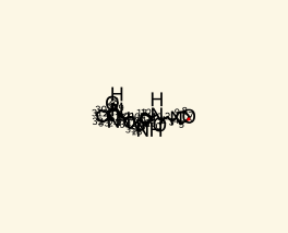 O=C(CCN1CCOCC1)Nc1ccc2c(c1)NCC21CCN(c2nc3c(c(=O)[nH]2)CCCC3)CC1